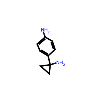 Nc1ccc(C2(N)CC2)cc1